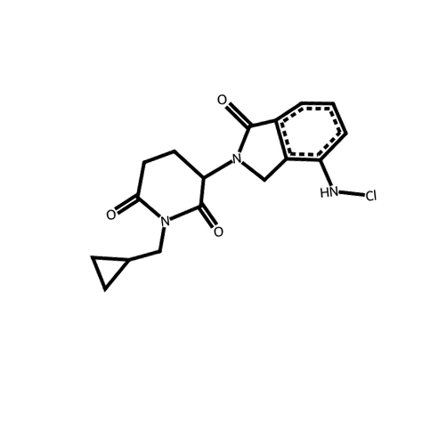 O=C1CCC(N2Cc3c(NCl)cccc3C2=O)C(=O)N1CC1CC1